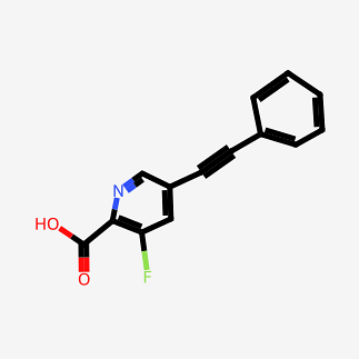 O=C(O)c1ncc(C#Cc2ccccc2)cc1F